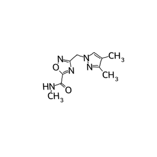 CNC(=O)c1nc(Cn2cc(C)c(C)n2)no1